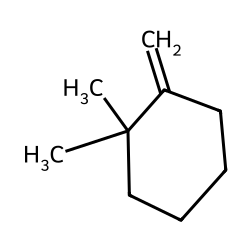 C=C1CCCCC1(C)C